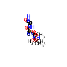 COC(=O)C(CNC(=O)OC(C)(C)C)NC(=O)c1sc(C(=O)NCc2cccc3c2CC(=O)N3)cc1C